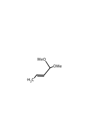 [CH2]C=CC(OC)OC